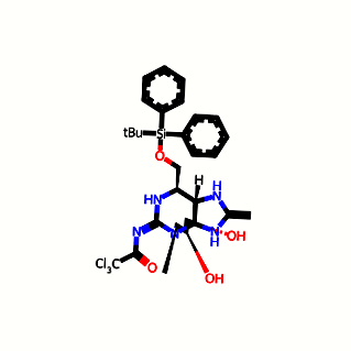 C=C1N[C@H]2[C@H](CO[Si](c3ccccc3)(c3ccccc3)C(C)(C)C)N/C(=N/C(=O)C(Cl)(Cl)Cl)N3[C@@H](C)[C@H](O)[C@H](O)C23N1